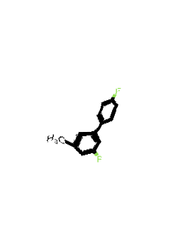 Cc1[c]c(-c2ccc(F)cc2)cc(F)c1